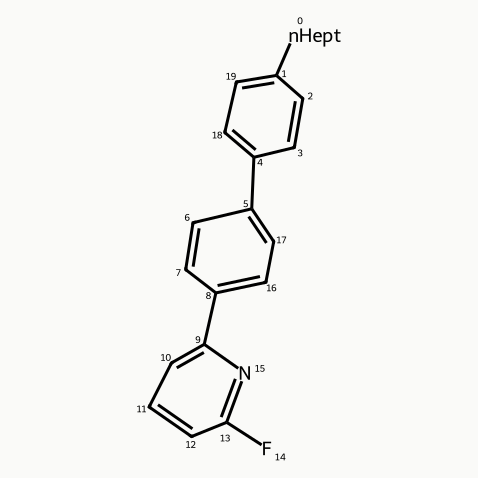 CCCCCCCc1ccc(-c2ccc(-c3cccc(F)n3)cc2)cc1